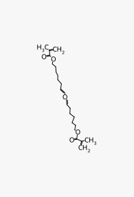 C=C(C)C(=O)OCCCCCCC=COC=CCCCCCCOC(=O)C(=C)C